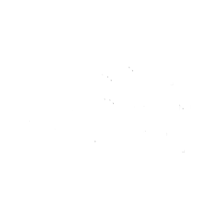 Cc1ccccc1C(C)n1nnc2c1C[C@@H](C)NC2